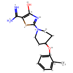 N=C(N)c1sc(N2CCC(Oc3ccccc3C(F)(F)F)CC2)nc1O